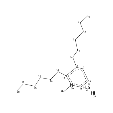 CCCCCCc1ccc[n+](C)c1CCCCCC.I.S